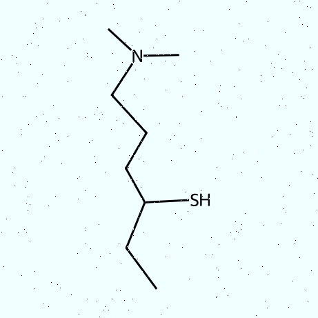 CCC(S)CCCN(C)C